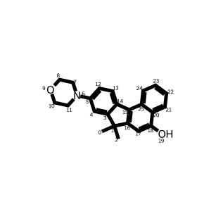 CC1(C)c2cc(N3CCOCC3)ccc2-c2c1cc(O)c1ccccc21